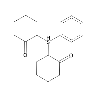 O=C1CCCCC1[SH](c1ccccc1)C1CCCCC1=O